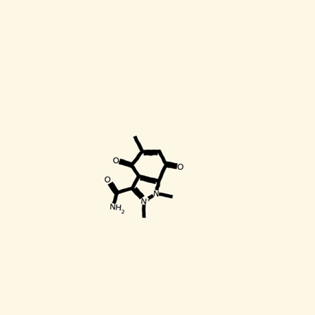 CC1=CC(=O)c2c(c(C(N)=O)[n+](C)n2C)C1=O